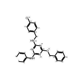 C/C=C\C(=C/C)Nc1nc(NCc2ccc(Cl)cc2)nc(OCc2ccccc2)n1